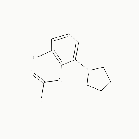 NC(=O)Nc1c(Cl)cccc1N1CCCC1